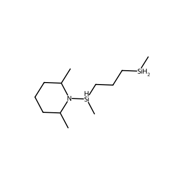 C[SiH2]CCC[SiH](C)N1C(C)CCCC1C